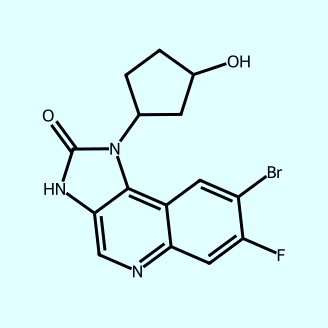 O=c1[nH]c2cnc3cc(F)c(Br)cc3c2n1C1CCC(O)C1